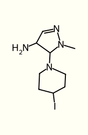 CN1N=CC(N)C1N1CCC(I)CC1